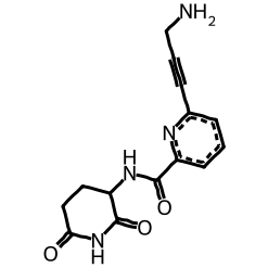 NCC#Cc1cccc(C(=O)NC2CCC(=O)NC2=O)n1